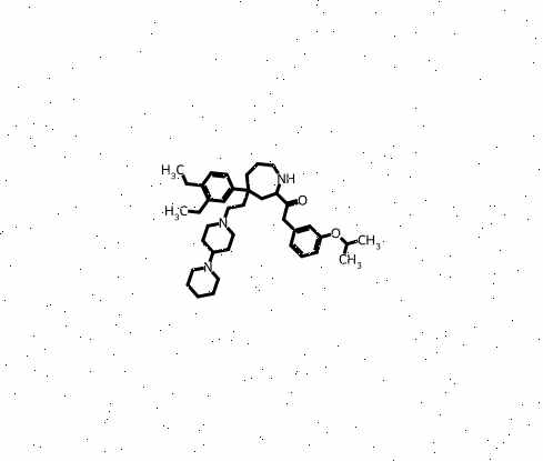 CCc1ccc(C2(CCN3CCC(N4CCCCC4)CC3)CCCNC(C(=O)Cc3cccc(OC(C)C)c3)C2)cc1CC